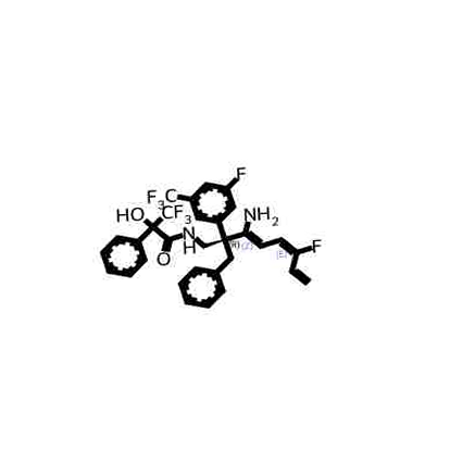 C=C/C(F)=C\C=C(/N)[C@](CNC(=O)C(O)(c1ccccc1)C(F)(F)F)(Cc1ccccc1)c1cc(F)cc(C(F)(F)F)c1